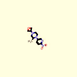 CC1CN(C2COC2)CCN1c1ccc([N+](=O)[O-])nc1